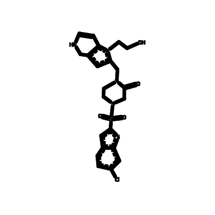 O=C1CN(S(=O)(=O)c2cc3ccc(Cl)cc3s2)CCN1Cc1cc2c(n1CCO)C=CNC2